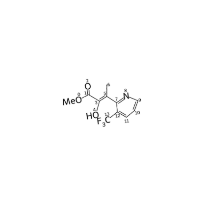 COC(=O)C(O)=C(C)c1ncccc1C(F)(F)F